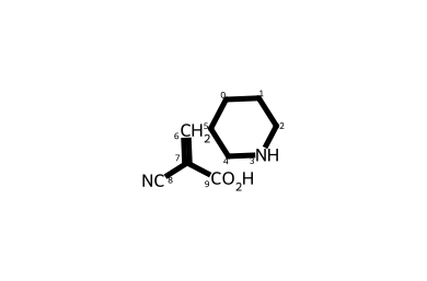 C1CCNCC1.C=C(C#N)C(=O)O